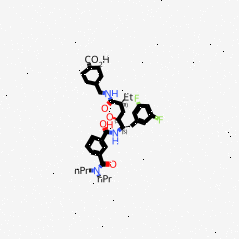 CCCN(CCC)C(=O)c1cccc(C(=O)N[C@@H](Cc2cc(F)cc(F)c2)[C@@H](O)C[C@@H](CC)C(=O)NCC2CCC(C(=O)O)CC2)c1